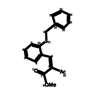 COC(=O)C(=Cc1ccccc1SCc1ccccc1)C(C)=O